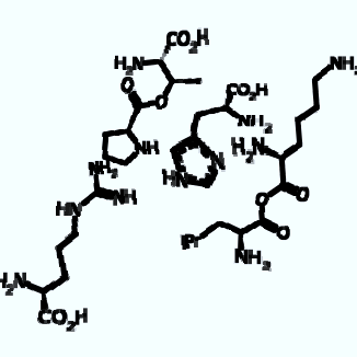 CC(C)C[C@H](N)C(=O)OC(=O)[C@@H](N)CCCCN.C[C@@H](OC(=O)[C@@H]1CCCN1)[C@H](N)C(=O)O.N=C(N)NCCC[C@H](N)C(=O)O.N[C@@H](Cc1c[nH]cn1)C(=O)O